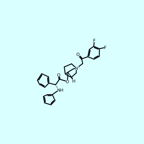 O=C(C[N+]12CCC(CC1)[C@@H](OC(=O)[C@H](Nc1ccccc1)c1ccccc1)C2)c1ccc(F)c(F)c1